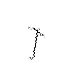 CC=CC(=O)C(CC)CCCCCCCCCCCCCCC